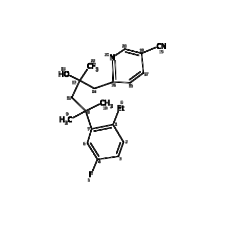 CCc1ccc(F)cc1C(C)(C)CC(O)(Cc1ccc(C#N)cn1)C(F)(F)F